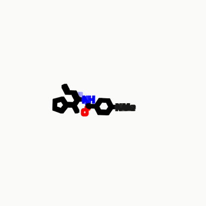 C=C/C=C(/NC(=O)C1C=CC(NC)CC1)C(C)=C1CCCC1